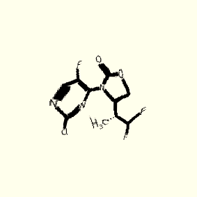 C[C@@H](C(F)F)C1COC(=O)N1c1nc(Cl)ncc1F